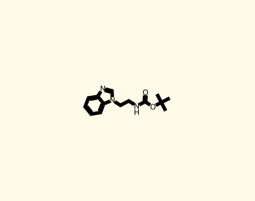 CC(C)(C)OC(=O)NCCn1cnc2ccccc21